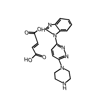 O=C(O)/C=C/C(=O)O.c1ccc2c(c1)ncn2-c1ccc(N2CCNCC2)nn1